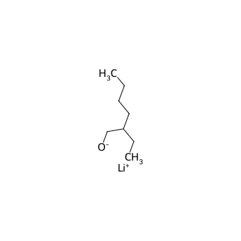 CCCCC(CC)C[O-].[Li+]